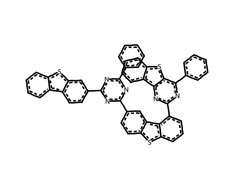 c1ccc(-c2nc(-c3ccc4c(c3)sc3ccccc34)nc(-c3ccc4sc5cccc(-c6nc(-c7ccccc7)c7sc8ccccc8c7n6)c5c4c3)n2)cc1